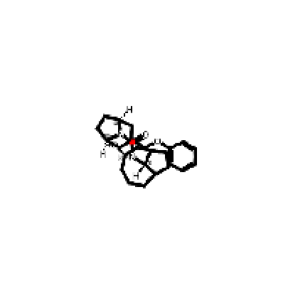 O=C(N[C@H]1C2CCC[C@@H](O)CC1CC2)N1[C@@H]2CC[C@H]1CC(COc1ccccc1)C2